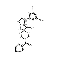 O=C(c1ccccc1)N1CCC2(CC1)SC1CC[C@@H](c3cc(F)cc(F)c3)N1C2=O